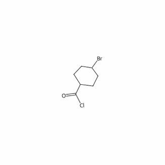 O=C(Cl)C1CCC(Br)CC1